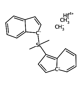 C[Si](C)(c1cc[c-]2ccccc12)[c-]1ccc2ccccc21.[CH3-].[CH3-].[Hf+4]